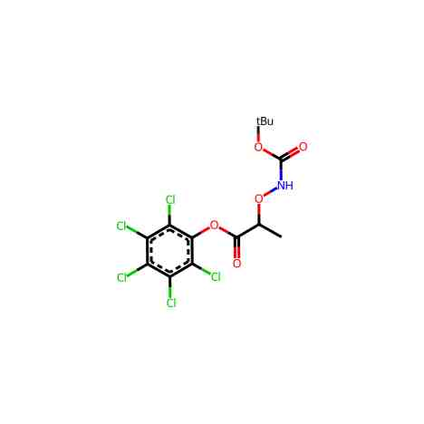 CC(ONC(=O)OC(C)(C)C)C(=O)Oc1c(Cl)c(Cl)c(Cl)c(Cl)c1Cl